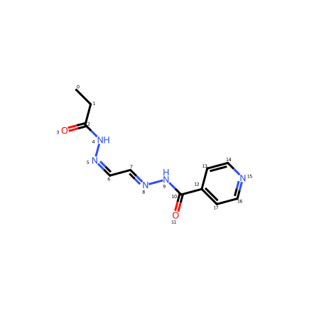 CCC(=O)N/N=C\C=N\NC(=O)c1ccncc1